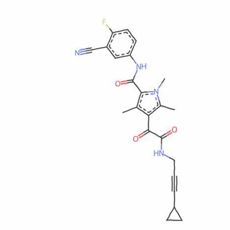 Cc1c(C(=O)C(=O)NCC#CC2CC2)c(C)n(C)c1C(=O)Nc1ccc(F)c(C#N)c1